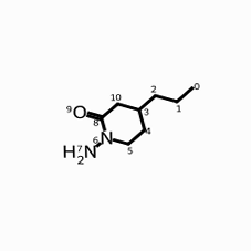 CCCC1CCN(N)C(=O)C1